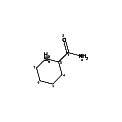 NC(=O)C1CCCC[SiH2]1